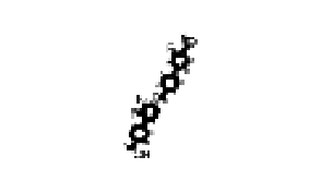 CC(O)C1CCC(c2ccc(OCC3CCC(c4ccc(C5CO5)c(F)c4)CC3)c(F)c2F)CC1